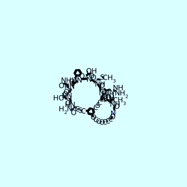 CSCC[C@@H]1NC(=O)[C@H](CCCNC(=N)N)NC(=O)[C@@H]2CSCc3cc(cc(c3)OCCCCCCO/N=C/C(=O)N[C@@H]([C@H](C)O)C(=O)N2)CSC[C@@H](C(N)=O)NC(=O)[C@H](CC(=O)O)NC(=O)[C@H](CCC(N)=O)NC(=O)[C@H](Cc2ccccc2)NC(=O)[C@H](CC(=O)O)NC1=O